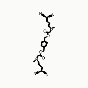 CN(/C=C/C=C(C#N)C#N)CC(=O)OCc1ccc(COC(=O)CN(C)/C=C/C=C(C#N)C#N)cc1